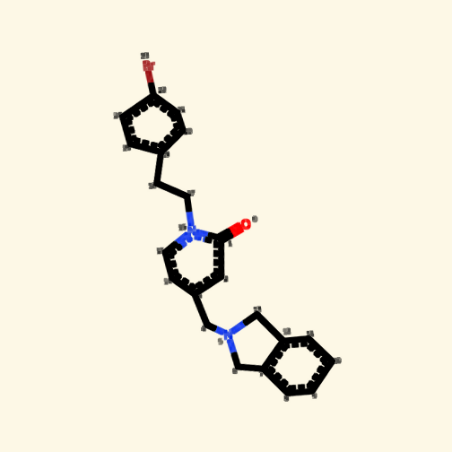 O=c1cc(CN2Cc3ccccc3C2)ccn1CCc1ccc(Br)cc1